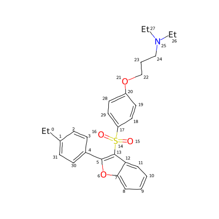 CCc1ccc(-c2oc3ccccc3c2S(=O)(=O)c2ccc(OCCCN(CC)CC)cc2)cc1